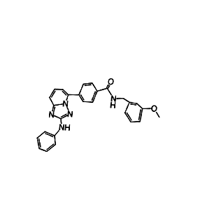 COc1cccc(CNC(=O)c2ccc(-c3cccc4nc(Nc5ccccc5)nn34)cc2)c1